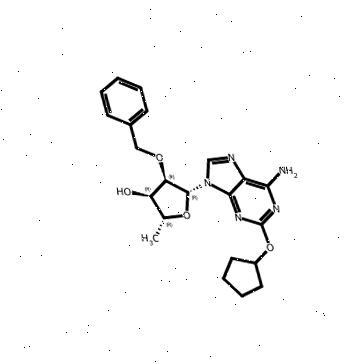 C[C@H]1O[C@@H](n2cnc3c(N)nc(OC4CCCC4)nc32)[C@H](OCc2ccccc2)[C@@H]1O